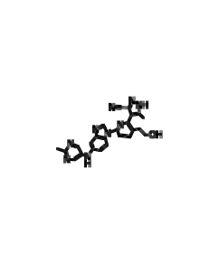 Cc1ncc(Nc2ccc3c(c2)ncn3-c2ccc(CCO)c(-c3c(C#N)n[nH]c3C)n2)cn1